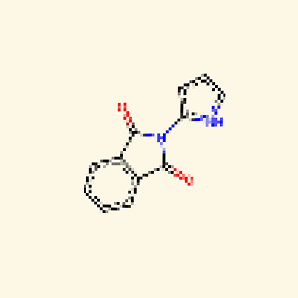 O=C1c2ccccc2C(=O)N1c1ccc[nH]1